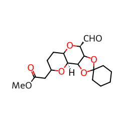 COC(=O)CC1CCC2O[C@@H](C=O)C3OC4(CCCCC4)OC3[C@H]2O1